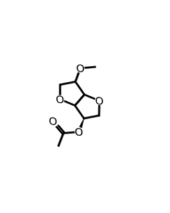 COC1COC2C1OC[C@H]2OC(C)=O